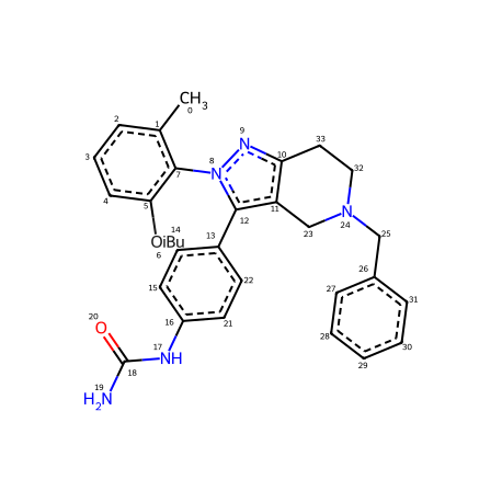 Cc1cccc(OCC(C)C)c1-n1nc2c(c1-c1ccc(NC(N)=O)cc1)CN(Cc1ccccc1)CC2